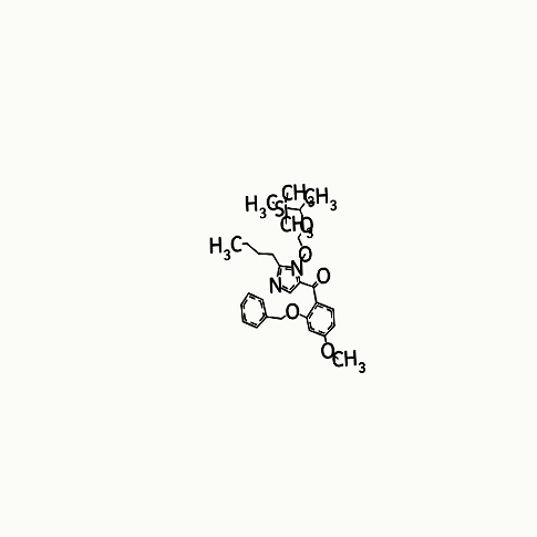 CCCCc1ncc(C(=O)c2ccc(OC)cc2OCc2ccccc2)n1OCOC(C)[Si](C)(C)C